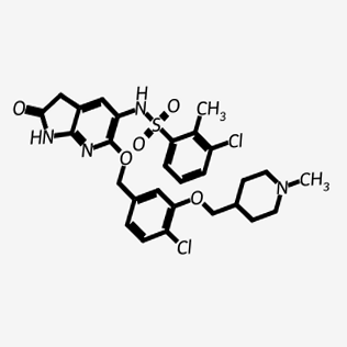 Cc1c(Cl)cccc1S(=O)(=O)Nc1cc2c(nc1OCc1ccc(Cl)c(OCC3CCN(C)CC3)c1)NC(=O)C2